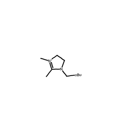 CCCCCN1CC[N+](C)=C1C